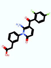 Nc1c(C(=O)c2ccc(F)cc2F)ccc(=O)n1-c1cccc(CC(=O)O)c1